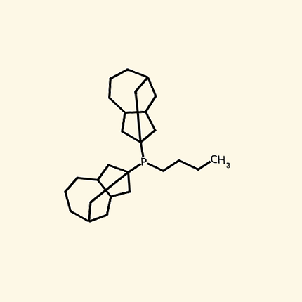 CCCCP(C12CC3CCCC(C1)C(C3)C2)C12CC3CCCC(C1)C(C3)C2